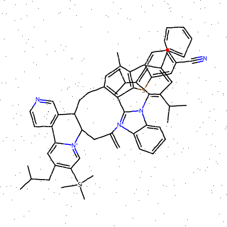 C=C1CC2C(CCc3cc(C)c4c(sc5cc(C#N)ccc54)c3-c3n(-c4c(C(C)C)cc(-c5ccccc5)cc4C(C)C)c4ccccc4[n+]31)c1cnccc1-c1cc(CC(C)C)c([Si](C)(C)C)c[n+]12